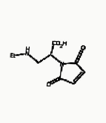 CCNCC(C(=O)O)N1C(=O)C=CC1=O